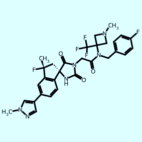 CN1CC(N(Cc2ccc(F)cc2)C(=O)CN2C(=O)N[C@]3(C[C@@](C)(F)c4cc(-c5cnn(C)c5)ccc43)C2=O)(C(F)(F)F)C1